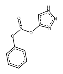 O=[PH](Oc1ccccc1)Oc1c[nH]nn1